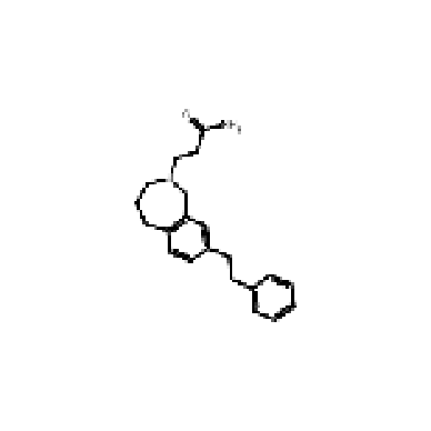 NC(=O)CCN1CCCc2ccc([CH]Cc3ccccc3)cc2C1